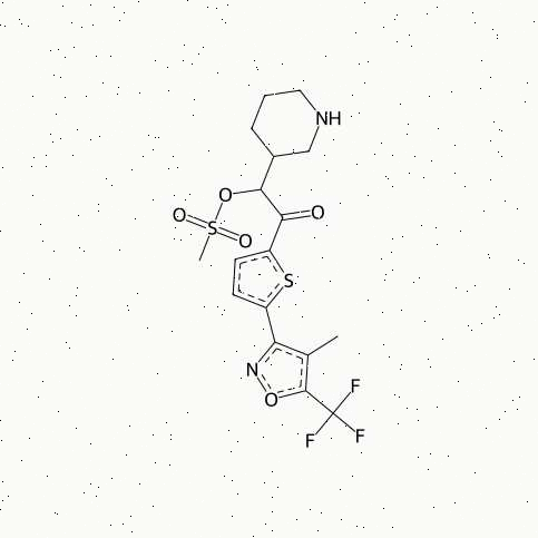 Cc1c(-c2ccc(C(=O)C(OS(C)(=O)=O)C3CCCNC3)s2)noc1C(F)(F)F